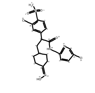 CS(=O)(=O)c1ccc(C(CC2CCC(=NO)CC2)C(=O)Nc2ccc(Cl)cn2)cc1Cl